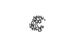 Cc1cccc2c1c1c(N)ncnc1n2CC(=O)N1[C@@H]2CC2C[C@H]1C(=O)Nc1cccc(Br)n1